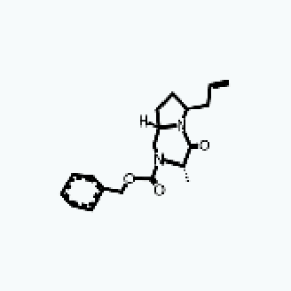 C=CCC1CC[C@H]2CN(C(=O)OCc3ccccc3)[C@@H](C)C(=O)N12